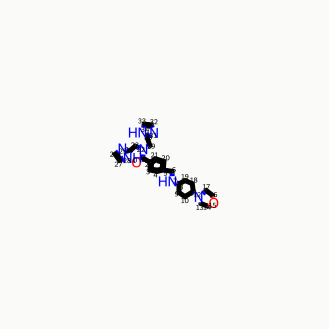 O=C(c1ccc(CNC2CCC(N3CCOCC3)CC2)cc1)N(Cc1ncc[nH]1)Cc1ncc[nH]1